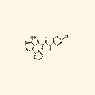 O=C(Nc1ccc(C(F)(F)F)cc1)Nc1c[nH]c2nccc(-c3ncccn3)c12